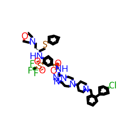 O=S(=O)(Nc1nnc2n1CCN(C1CCN(Cc3ccccc3-c3ccc(Cl)cc3)CC1)CC2)c1ccc(N[C@H](CCN2CCOCC2)CSc2ccccc2)c(S(=O)(=O)C(F)(F)F)c1